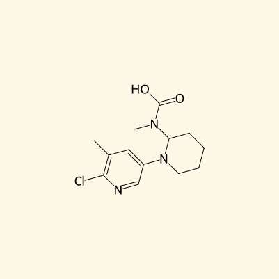 Cc1cc(N2CCCCC2N(C)C(=O)O)cnc1Cl